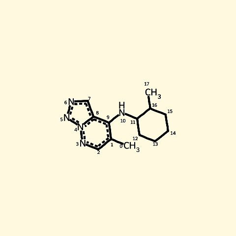 Cc1cnn2nncc2c1NC1CCCCC1C